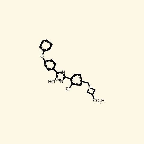 Cl.O=C(O)C1CN(Cc2ccc(-c3noc(-c4ccc(Oc5ccccc5)cc4)n3)c(Cl)c2)C1